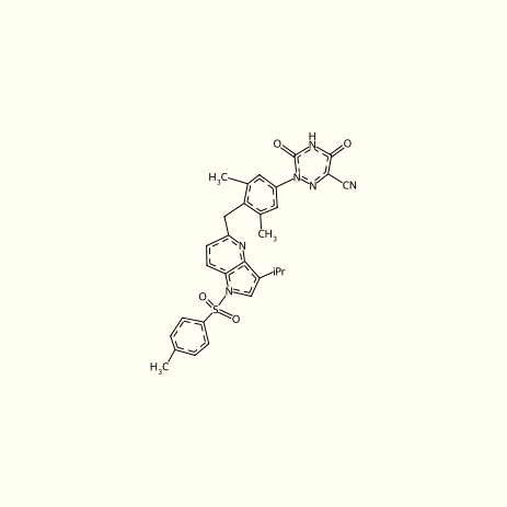 Cc1ccc(S(=O)(=O)n2cc(C(C)C)c3nc(Cc4c(C)cc(-n5nc(C#N)c(=O)[nH]c5=O)cc4C)ccc32)cc1